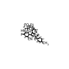 CCCCC(C)(C)[C@@H](CC(=O)OCC)Nc1nc(-c2cn(S(=O)(=O)c3ccc(C)cc3)c3ncc(F)cc23)c(C#N)cc1F